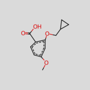 COc1ccc(C(=O)O)c(OCC2CC2)c1